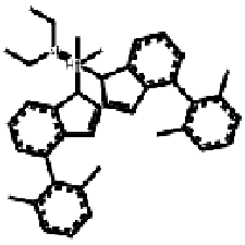 CC[Si](CC)=[Hf]([CH3])([CH3])([CH]1C=Cc2c(-c3c(C)cccc3C)cccc21)[CH]1C=Cc2c(-c3c(C)cccc3C)cccc21